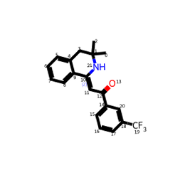 CC1(C)Cc2ccccc2/C(=C/C(=O)c2cccc(C(F)(F)F)c2)N1